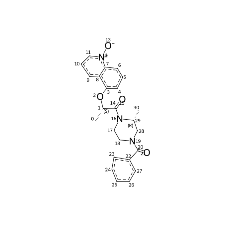 C[C@H](Oc1cccc2c1ccc[n+]2[O-])C(=O)N1CCN(C(=O)c2ccccc2)C[C@H]1C